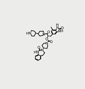 Cc1cc(C[C@@H](OC(=O)N2CCC(N3CCc4ccccc4NC3=O)CC2)C(=O)N2CCC(C3CCNCC3)CC2)cc2[nH]c(=O)[nH]c12